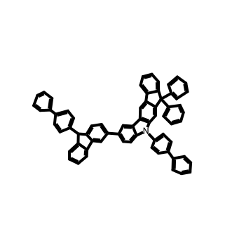 c1ccc(-c2ccc(C3c4ccccc4-c4cc(-c5ccc6c(c5)c5cc7c(cc5n6-c5ccc(-c6ccccc6)cc5)C(c5ccccc5)(c5ccccc5)c5ccccc5-7)ccc43)cc2)cc1